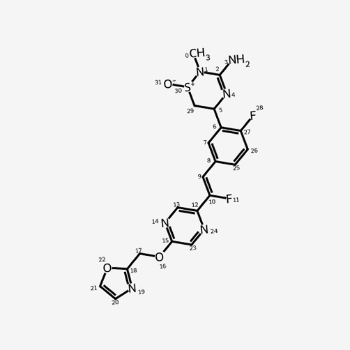 CN1C(N)=NC(c2cc(/C=C(\F)c3cnc(OCc4ncco4)cn3)ccc2F)C[S+]1[O-]